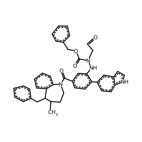 CC1CCN(C(=O)c2ccc(-c3ccc4[nH]ccc4c3)c(NN(CC=O)C(=O)OCc3ccccc3)c2)c2ccccc2C1Cc1ccccc1